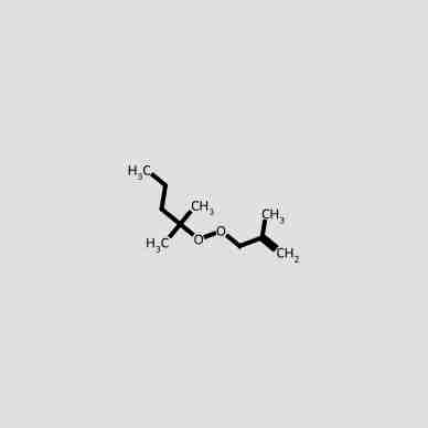 C=C(C)[CH]OOC(C)(C)CCC